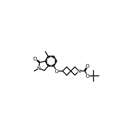 Cc1ccc(OC2CC3(C2)CN(C(=O)OC(C)(C)C)C3)c2c1C(=O)N(C)C2